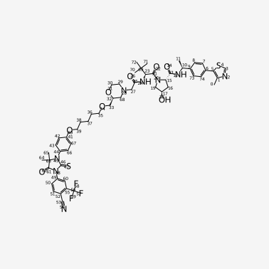 Cc1ncsc1-c1ccc([C@H](C)NC(=O)[C@@H]2C[C@@H](O)CN2C(=O)[C@@H](NC(=O)CN2CCO[C@H](COCCCCCOc3ccc(N4C(=S)N(c5ccc(C#N)c(C(F)(F)F)c5)C(=O)C4(C)C)cc3)C2)C(C)(C)C)cc1